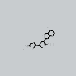 Nc1ccc(-c2cnc(N)c(-c3cc4c(Cl)ccc(F)c4cn3)c2)cn1